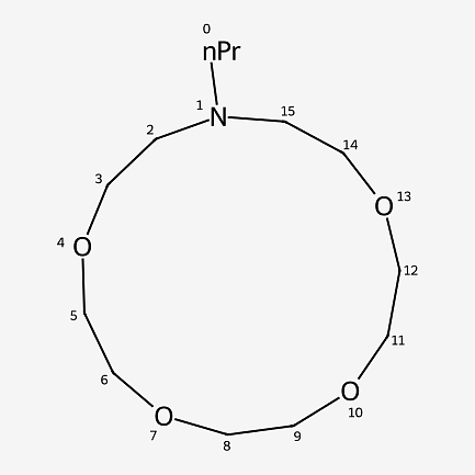 CCCN1CCOCCOCCOCCOCC1